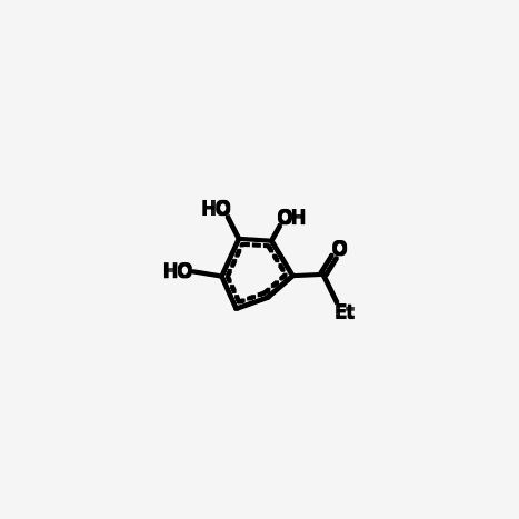 CCC(=O)c1ccc(O)c(O)c1O